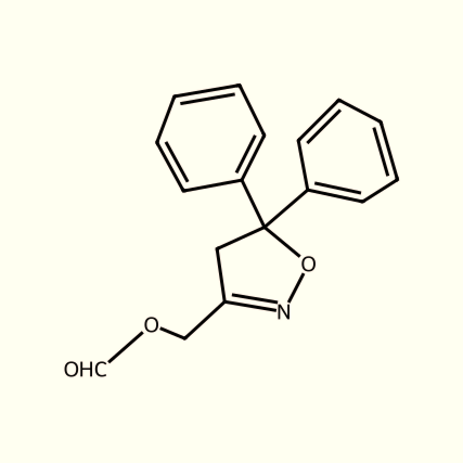 O=COCC1=NOC(c2ccccc2)(c2ccccc2)C1